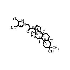 C[C@@]1(O)CC[C@@]2(F)[C@H](CC[C@H]3[C@@H]4CC[C@H](C(=O)Cn5cc(C#N)c(Cl)n5)[C@@]4(C)CC[C@@H]32)C1